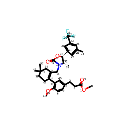 COC(=O)CCc1ccc(OC)c(C2=C(CN3C(=O)O[C@H](c4cc(C)cc(C(F)(F)F)c4)[C@@H]3C)CC(C)(C)CC2)c1